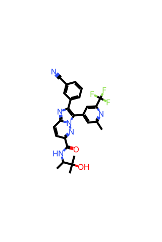 Cc1cc(-c2c(-c3cccc(C#N)c3)nc3ccc(C(=O)NC(C)C(C)(C)O)nn23)cc(C(F)(F)F)n1